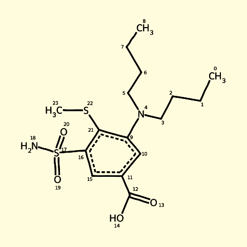 CCCCN(CCCC)c1cc(C(=O)O)cc(S(N)(=O)=O)c1SC